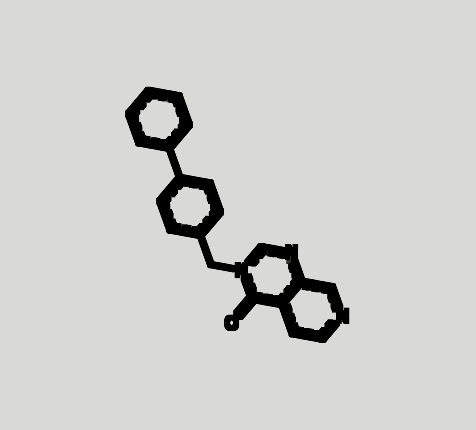 O=c1c2ccncc2ncn1Cc1ccc(-c2ccccc2)cc1